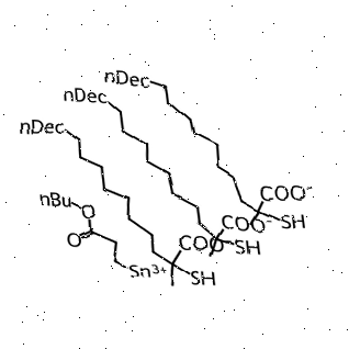 CCCCCCCCCCCCCCCCCCC(C)(S)C(=O)[O-].CCCCCCCCCCCCCCCCCCC(C)(S)C(=O)[O-].CCCCCCCCCCCCCCCCCCC(C)(S)C(=O)[O-].CCCCOC(=O)C[CH2][Sn+3]